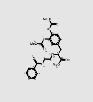 COC(=O)Oc1ccc(C[C@H](NCCOC(=O)c2ccccc2)C(=O)OC)cc1OC(=O)OC